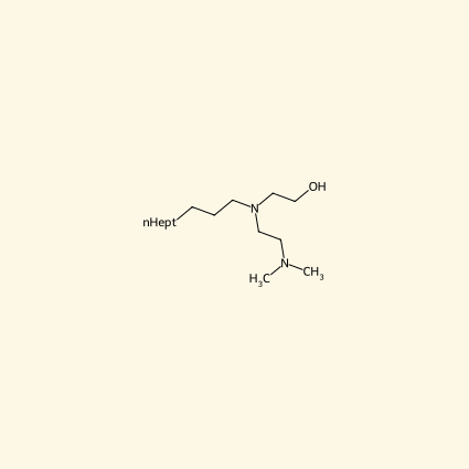 CCCCCCCCCCN(CCO)CCN(C)C